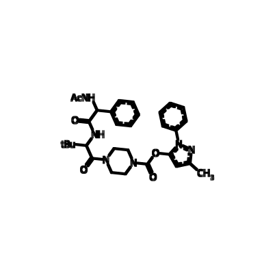 CC(=O)NC(C(=O)NC(C(=O)N1CCN(C(=O)Oc2cc(C)nn2-c2ccccc2)CC1)C(C)(C)C)c1ccccc1